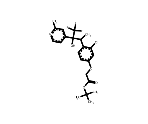 Cc1cc(C(O)(C(C)c2ccc(OCC(=O)OC(C)(C)C)cc2Cl)C(F)(F)F)ccn1